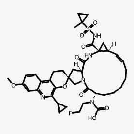 COc1ccc2c3c(c(C4CC4)nc2c1)O[C@]1(CC3)C[C@H]2C(=O)N[C@]3(C(=O)NS(=O)(=O)C4(C)CC4)C[C@H]3/C=C\CCCCC[C@H](N(CCF)C(=O)O)C(=O)N2C1